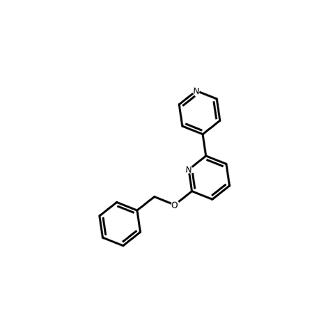 c1ccc(COc2cccc(-c3ccncc3)n2)cc1